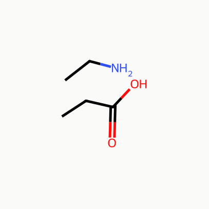 CCC(=O)O.CCN